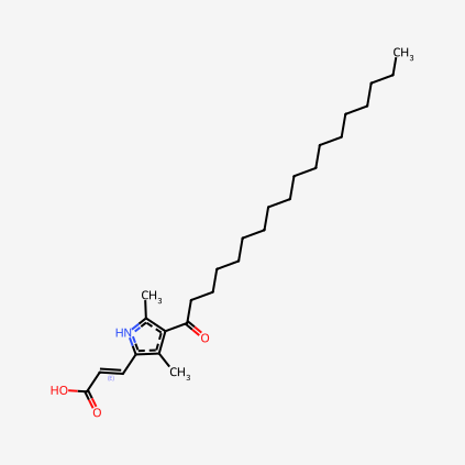 CCCCCCCCCCCCCCCCCC(=O)c1c(C)[nH]c(/C=C/C(=O)O)c1C